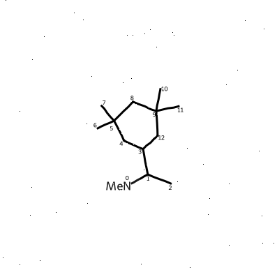 CNC(C)C1CC(C)(C)CC(C)(C)C1